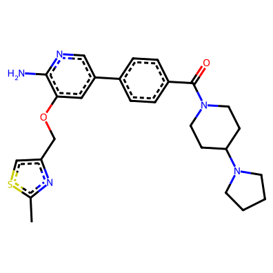 Cc1nc(COc2cc(-c3ccc(C(=O)N4CCC(N5CCCC5)CC4)cc3)cnc2N)cs1